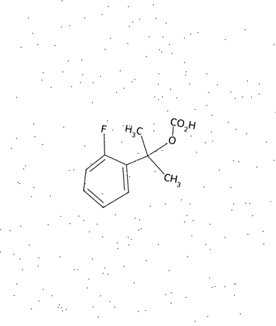 CC(C)(OC(=O)O)c1ccccc1F